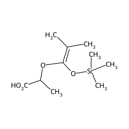 CC(C)=C(OC(C)C(=O)O)O[Si](C)(C)C